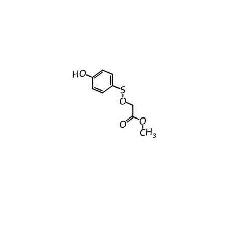 COC(=O)COSc1ccc(O)cc1